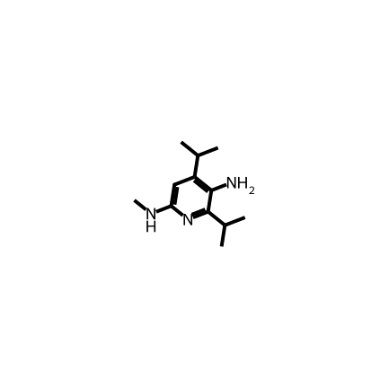 CNc1cc(C(C)C)c(N)c(C(C)C)n1